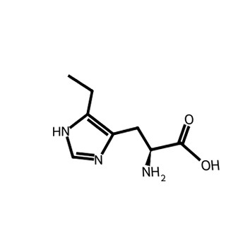 CCc1[nH]cnc1C[C@H](N)C(=O)O